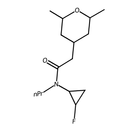 CCCN(C(=O)CC1CC(C)OC(C)C1)C1CC1F